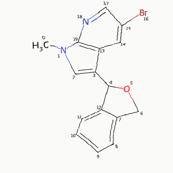 Cn1cc(C2OCc3ccccc32)c2cc(Br)cnc21